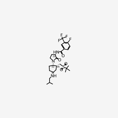 CC(C)CN[C@@H]1CC[C@H](N2CC[C@H](NC(=O)c3ccc(F)c(C(F)(F)F)c3)C2=O)[C@H](CS(=O)(=O)C(C)(C)C)C1